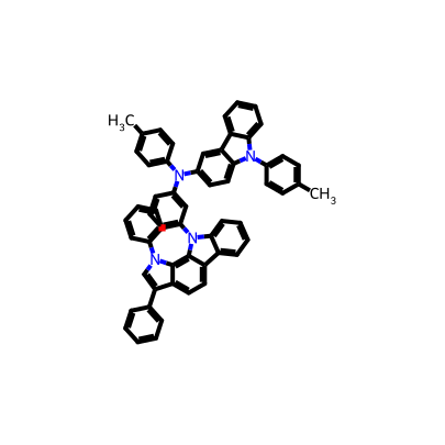 Cc1ccc(N(c2cccc(-n3c4ccccc4c4ccc5c(-c6ccccc6)cn(-c6ccccc6)c5c43)c2)c2ccc3c(c2)c2ccccc2n3-c2ccc(C)cc2)cc1